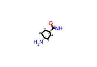 [NH]C(=O)[C@H]1CC[C@H](N)CC1